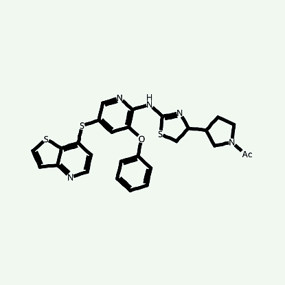 CC(=O)N1CCC(C2CSC(Nc3ncc(Sc4ccnc5ccsc45)cc3Oc3ccccc3)=N2)C1